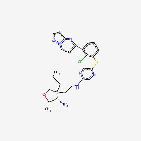 CCCC1(CCNc2cnc(Sc3cccc(-c4ccn5nccc5n4)c3Cl)cn2)CO[C@@H](C)[C@H]1N